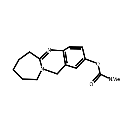 CNC(=O)Oc1ccc2c(c1)CN1CCCCCC1=N2